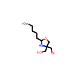 CCCCCCCCCCCCC1NC(CO)(CO)CO1